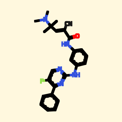 CN(C)C(C)(C)C=C(C#N)C(=O)Nc1cccc(Nc2ncc(F)c(-c3ccccc3)n2)c1